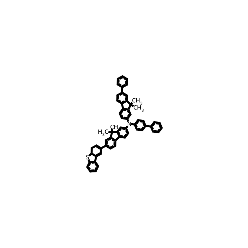 CC1(C)c2cc(C3=CCC4Sc5ccccc5C4=C3)ccc2-c2ccc(N(c3ccc(-c4ccccc4)cc3)c3ccc4c(c3)C(C)(C)c3cc(-c5ccccc5)ccc3-4)cc21